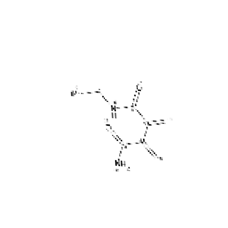 C=C(C(=C)C(=O)NCC(C)C)C(N)=O